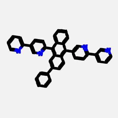 c1ccc(-c2ccc3c(-c4ccc(-c5cccnc5)nc4)c4ccccc4c(-c4ccc(-c5ccccn5)cn4)c3c2)cc1